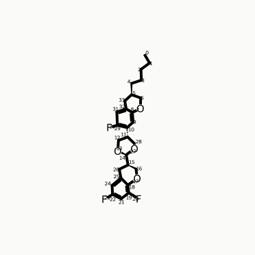 CCCCC[C@H]1COc2cc([C@H]3CO[C@H]([C@H]4COc5c(F)cc(F)cc5C4)OC3)c(F)cc2C1